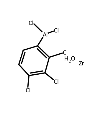 Clc1cc[c]([Al]([Cl])[Cl])c(Cl)c1Cl.O.[Zr]